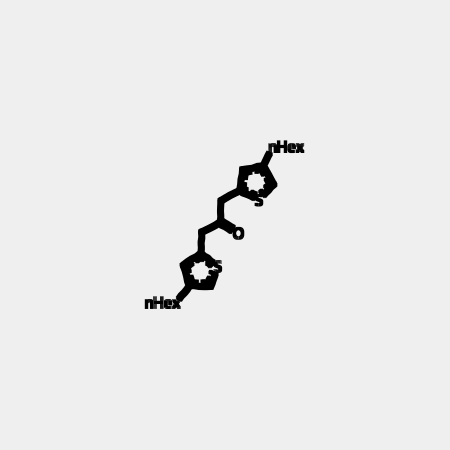 CCCCCCc1csc(CC(=O)Cc2cc(CCCCCC)cs2)c1